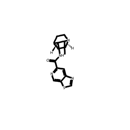 C[C@H]1[C@H](NC(=O)c2cc3ncsc3cn2)C2CCN1CC2